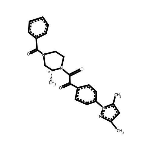 Cc1cc(C)n(-c2ccc(C(=O)C(=O)N3CCN(C(=O)c4ccccc4)C[C@H]3C)cc2)n1